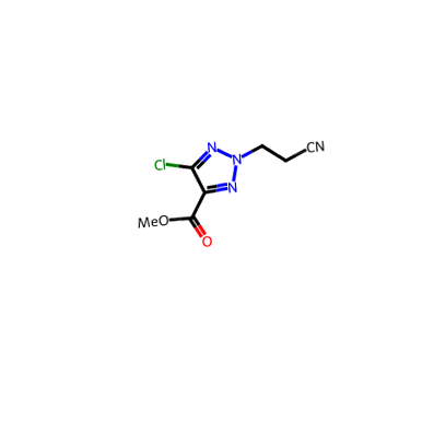 COC(=O)c1nn(CCC#N)nc1Cl